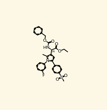 CCOC(=O)[C@H](NC(=O)OCc1ccccc1)c1cc(-c2ccc(S(C)(=O)=O)cc2)n(-c2cccc(F)c2)c1C